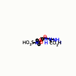 Cc1cc(C(=O)NCCCN(CCCN)CCC(=O)O)cc(C)c1OC(=O)c1c2ccccc2[n+](CCCS(=O)(=O)O)c2ccccc12